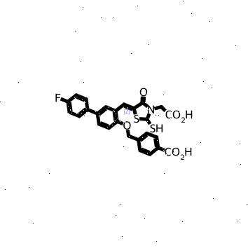 O=C(O)CN1C(=O)/C(=C/c2cc(-c3ccc(F)cc3)ccc2OCc2ccc(C(=O)O)cc2)SC1S